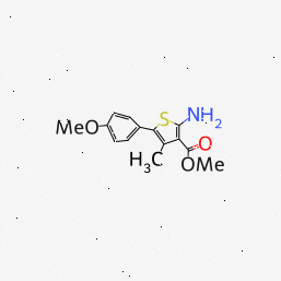 COC(=O)c1c(N)sc(-c2ccc(OC)cc2)c1C